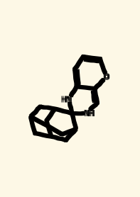 C1=COC2=CNC3(NC2=C1)C1CC2CC(C1)CC3C2